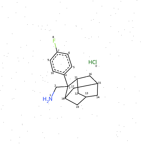 Cl.NCC1(c2ccc(F)cc2)C2CC3CC(C2)CC1C3